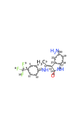 C/C(Nc1ccc(C(F)(F)F)cc1)=C1/C(=O)Nc2ccc(N)cc21